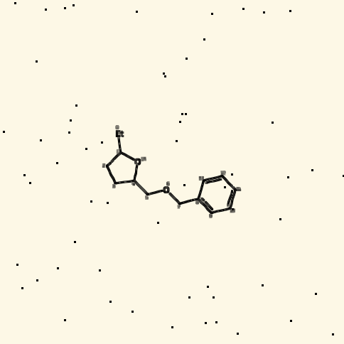 CCC1CCC(COCc2ccccc2)O1